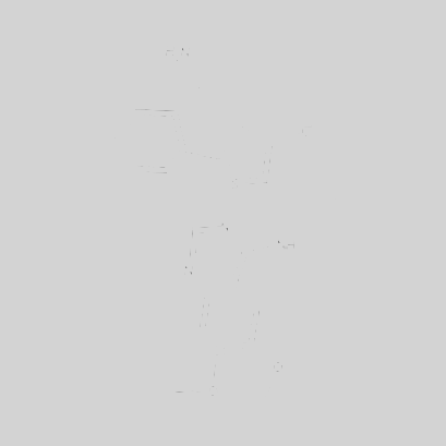 COc1cc2nc(C)nc(NC(C)c3sc(-c4ccccc4CN)cc3Cl)c2cc1OC